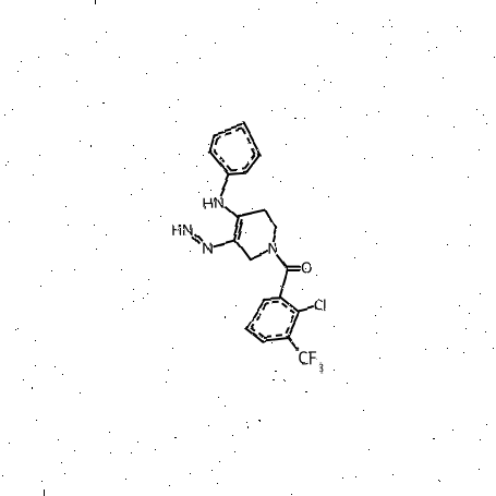 N=NC1=C(Nc2ccccc2)CCN(C(=O)c2cccc(C(F)(F)F)c2Cl)C1